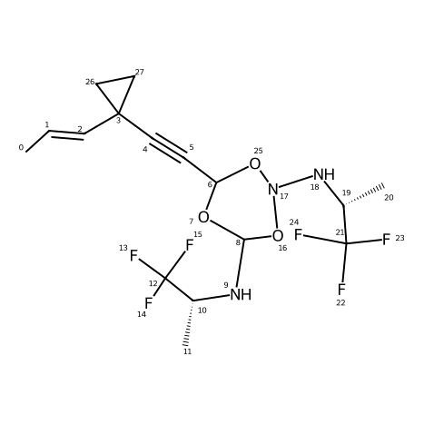 CC=CC1(C#CC2OC(N[C@H](C)C(F)(F)F)ON(N[C@H](C)C(F)(F)F)O2)CC1